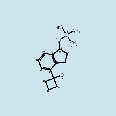 CC(C)(C)[Si](C)(C)O[C@H]1CCc2c1cccc2C1(O)CCC1